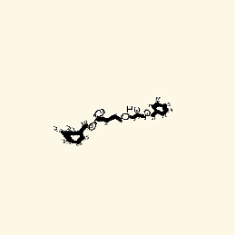 O=C(CCCOCC(O)COCc1ccccc1)OCc1ccccc1